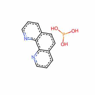 OP(O)O.c1cnc2c(c1)ccc1cccnc12